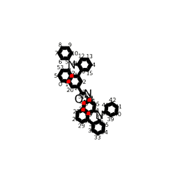 c1ccc(N(c2ccccc2)c2ccccc2-c2cccc(-c3nnc(-c4cccc(-c5ccccc5N(c5ccccc5)c5ccccc5)c4)o3)c2)cc1